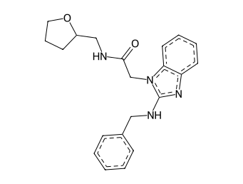 O=C(Cn1c(NCc2ccccc2)nc2ccccc21)NCC1CCCO1